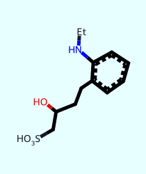 CCNc1ccccc1CCC(O)CS(=O)(=O)O